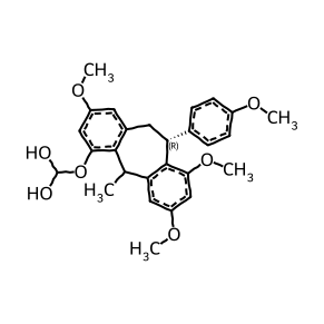 COc1ccc([C@H]2Cc3cc(OC)cc(OC(O)O)c3C(C)c3cc(OC)cc(OC)c32)cc1